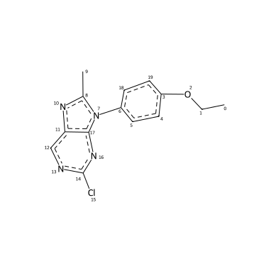 CCOc1ccc(-n2c(C)nc3cnc(Cl)nc32)cc1